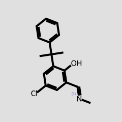 C/N=C/c1cc(Cl)cc(C(C)(C)c2ccccc2)c1O